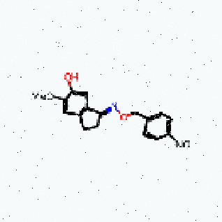 COc1cc2c(cc1O)/C(=N/OCc1ccc(N=O)cc1)CC2